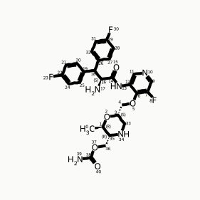 C[C@H]1O[C@H](COc2c(F)cncc2NC(=O)[C@@H](N)C(c2ccc(F)cc2)c2ccc(F)cc2)CN[C@@H]1COC(N)=O